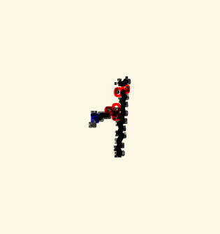 [CH2]C([CH2])OC(=O)CCCC(CCCCCCCCCCCC)OC(=O)OCCCN(C)C